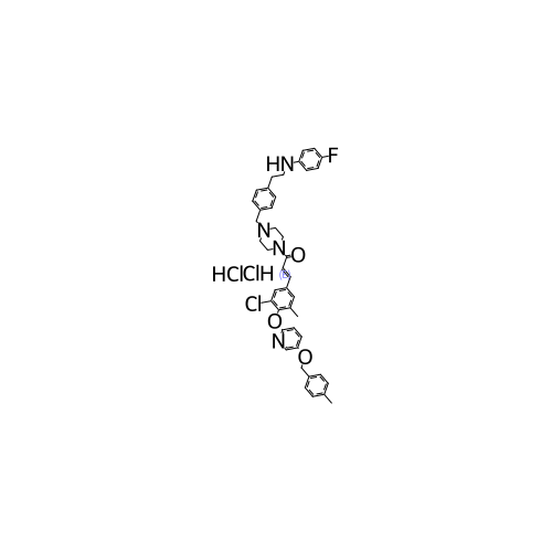 Cc1ccc(COc2ccc(Oc3c(C)cc(/C=C/C(=O)N4CCN(Cc5ccc(CCNc6ccc(F)cc6)cc5)CC4)cc3Cl)nc2)cc1.Cl.Cl